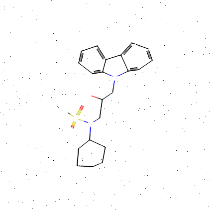 CS(=O)(=O)N(CC(O)Cn1c2ccccc2c2ccccc21)C1CCCCC1